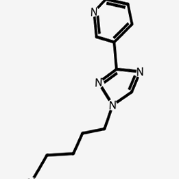 [N]CCCCn1cnc(-c2cccnc2)n1